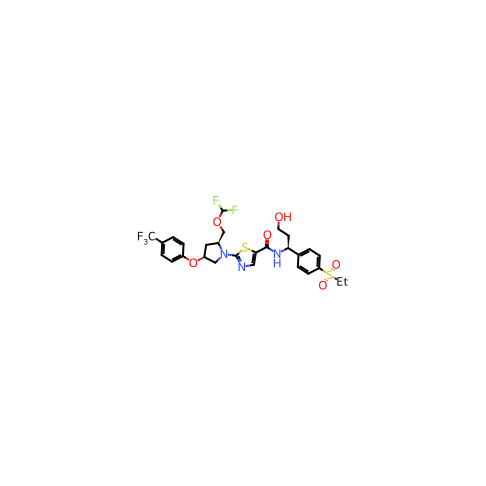 CCS(=O)(=O)c1ccc([C@H](CCO)NC(=O)c2cnc(N3C[C@@H](Oc4ccc(C(F)(F)F)cc4)C[C@H]3COC(F)F)s2)cc1